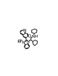 O=C(NC1CCCCC1)C(C1CCCCC1)n1c(-c2ccc3ncccc3c2)nc2ccccc21.[Cl-].[H+]